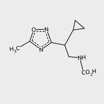 Cc1nc(C(CNC(=O)O)C2CC2)no1